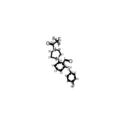 O=Cc1c(Sc2ccc(F)cc2)cccc1N1CCN(C(=O)C(F)(F)F)CC1